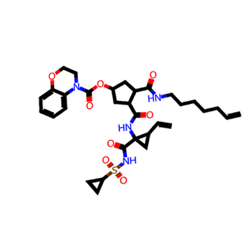 C=CCCCCCNC(=O)C1CC(OC(=O)N2CCOc3ccccc32)CC1C(=O)NC1(C(=O)NS(=O)(=O)C2CC2)CC1C=C